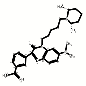 C[C@@H]1CCC[C@H](C)N1CCCCCn1c(=O)c(-c2cccc(C(=N)N)c2)nc2ccc(N(C)C)cc21